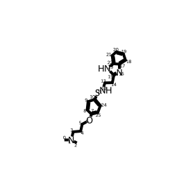 CN(C)CCCOc1ccc(SNCCc2nc3ccccc3[nH]2)cc1